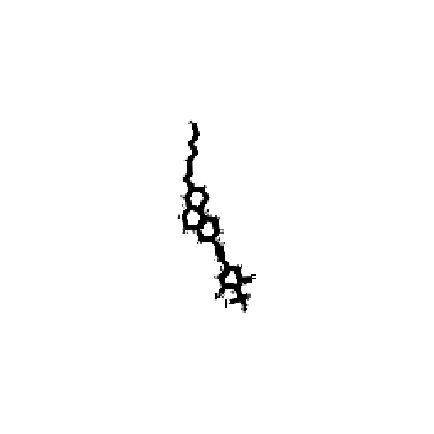 CCCCCCCC1CCC2c3ccc(C#Cc4cc(F)c(C(F)(F)F)c(F)c4)cc3CCC2C1